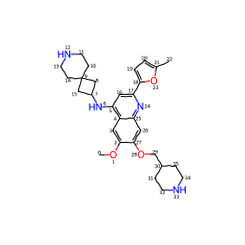 COc1cc2c(NC3CC4(CCNCC4)C3)cc(-c3ccc(C)o3)nc2cc1OCC1CCNCC1